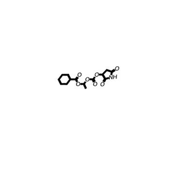 CC(OC(=O)OC1CC(=O)NC1=O)OC(=O)C1CCCCC1